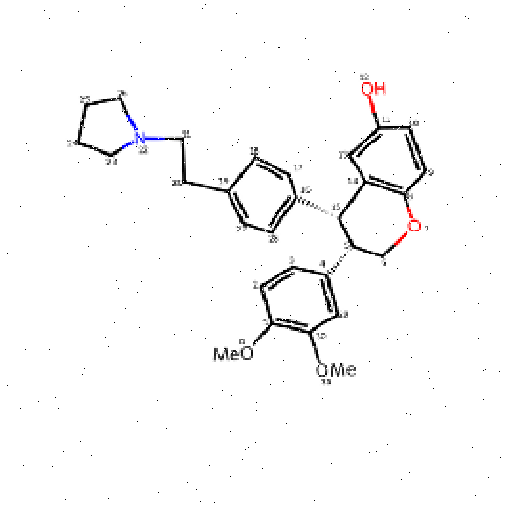 COc1ccc([C@H]2COc3ccc(O)cc3[C@H]2c2ccc(CCN3CCCC3)cc2)cc1OC